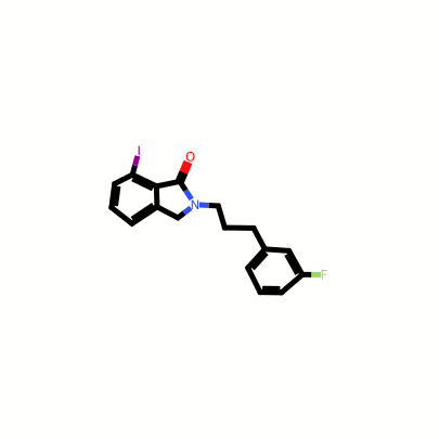 O=C1c2c(I)cccc2CN1CCCc1cccc(F)c1